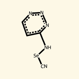 N#C[Se]Nc1ccnnn1